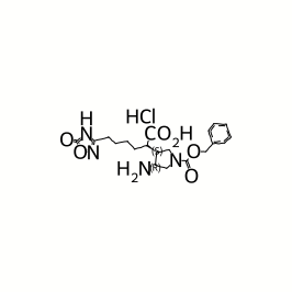 Cl.N[C@H]1CN(C(=O)OCc2ccccc2)C[C@@H]1C(CCCCc1noc(=O)[nH]1)C(=O)O